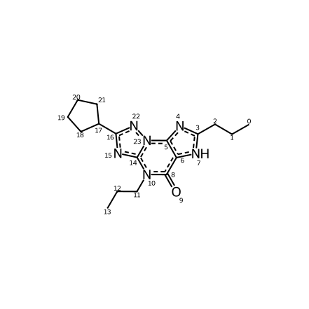 CCCc1nc2c([nH]1)c(=O)n(CCC)c1nc(C3CCCC3)nn21